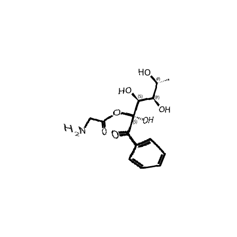 C[C@@H](O)[C@@H](O)[C@H](O)[C@](O)(OC(=O)CN)C(=O)c1ccccc1